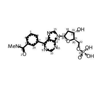 CNC(=O)c1cccc(-c2ncnc3c2ncn3[C@H]2C[C@H](O)[C@@H](COP(=O)(O)O)O2)c1